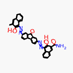 Cc1cc2ccccc2c(N=Nc2ccc3c(c2)C(=O)c2cc(N=Nc4c(O)c(C(N)=O)cc5ccccc45)ccc2-3)c1O